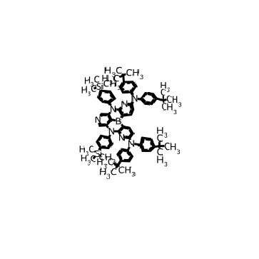 CC(C)(C)c1ccc(N(c2ccc(C(C)(C)C)cc2)c2ccc3c(n2)N(c2ccc([Si](C)(C)C)cc2)c2cncc4c2B3c2ccc(N(c3ccc(C(C)(C)C)cc3)c3ccc(C(C)(C)C)cc3)nc2N4c2ccc([Si](C)(C)C)cc2)cc1